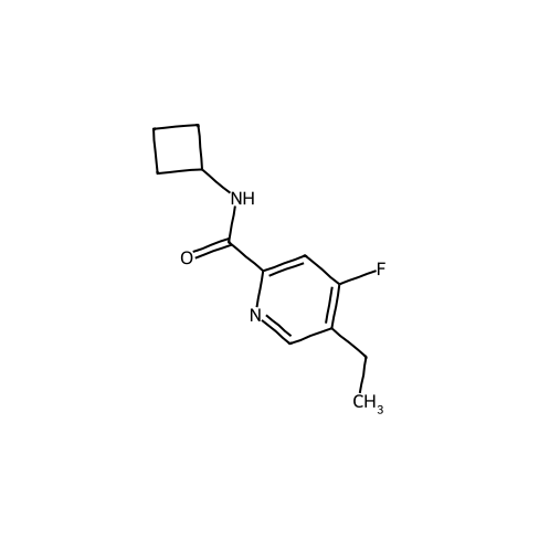 CCc1cnc(C(=O)NC2CCC2)cc1F